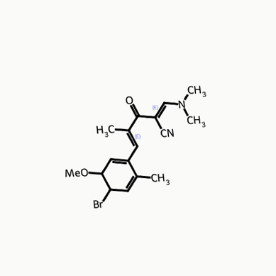 COC1C=C(/C=C(\C)C(=O)/C(C#N)=C/N(C)C)C(C)=CC1Br